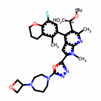 Cc1nc2c(cc(-c3nnc(N4CCCN(C5COC5)CC4)o3)n2C)c(-c2cc(F)c3c(c2C)CCCO3)c1[C@H](OC(C)(C)C)C(=O)O